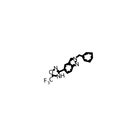 FC(F)(F)C1NC(c2ccc3nn(Cc4ccccc4)cc3c2)=NO1